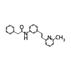 Cc1cccc(C=Cc2cccc(NC(=O)Cc3ccccc3)c2)n1